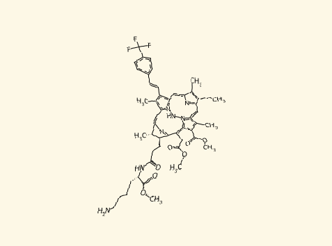 CCC1=C(C)/C2=C/c3c(/C=C/c4ccc(C(F)(F)F)cc4)c(C)c4n3Nn3/c(c(C)c(C(=O)OC)/c3=C(\CC(=O)OC)C3=N/C(=C\4)[C@@H](C)[C@@H]3CCC(=O)N[C@@H](CCCCN)C(=O)OC)=C\C1=N2